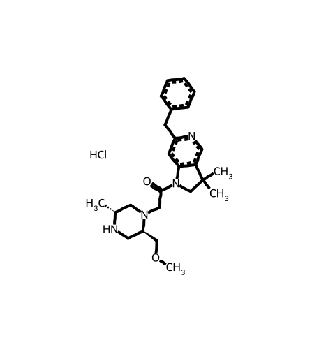 COC[C@H]1CN[C@H](C)CN1CC(=O)N1CC(C)(C)c2cnc(Cc3ccccc3)cc21.Cl